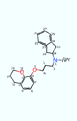 CCCN(CCCOc1cccc2c1OCCC2)C1Cc2ccccc2C1